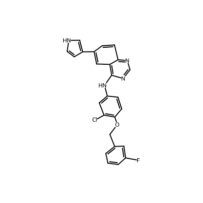 Fc1cccc(COc2ccc(Nc3ncnc4ccc(-c5cc[nH]c5)cc34)cc2Cl)c1